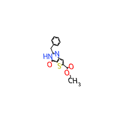 CCOC(=O)c1cc2nc(Cc3ccccc3)[nH]c(=O)c2s1